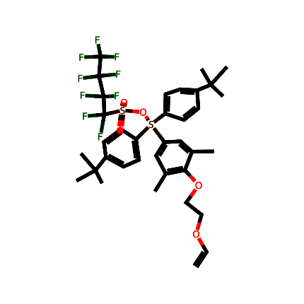 C=COCCOc1c(C)cc(S(OS(=O)(=O)C(F)(F)C(F)(F)C(F)(F)C(F)(F)F)(c2ccc(C(C)(C)C)cc2)c2ccc(C(C)(C)C)cc2)cc1C